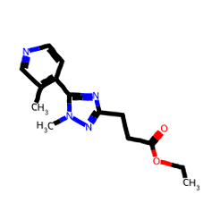 CCOC(=O)CCc1nc(-c2ccncc2C)n(C)n1